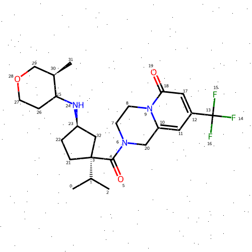 CC(C)[C@]1(C(=O)N2CCn3c(cc(C(F)(F)F)cc3=O)C2)CC[C@@H](NC2CCOC[C@H]2C)C1